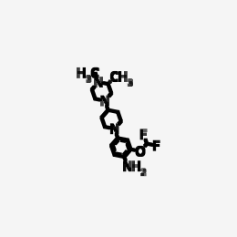 C[C@H]1CN(C2CCN(c3ccc(N)c(OC(F)F)c3)CC2)CCN1C